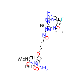 CN[C@@H](C)C(=O)N[C@H](C(=O)N1Cc2cc(OCCCCCCCCC(=O)NCCn3nc4c(c3C#N)-c3cnc(N)c(n3)N3CCC[C@@H]3c3cc(F)ccc3C(=O)N(C)C4)ccc2C[C@H]1C(N)=O)C(C)(C)C